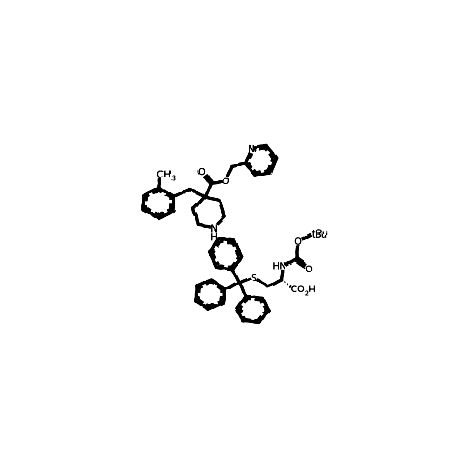 CC(C)(C)OC(=O)N[C@@H](CSC(c1ccccc1)(c1ccccc1)c1ccccc1)C(=O)O.Cc1ccccc1CC1(C(=O)OCc2ccccn2)CCNCC1